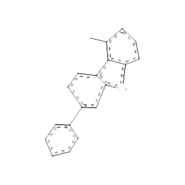 Cc1cccc2oc3cc(-c4ccccc4)ccc3c12